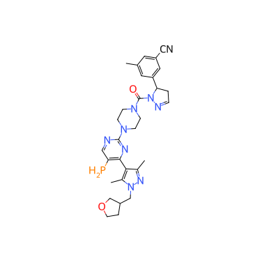 Cc1cc(C#N)cc(C2CC=NN2C(=O)N2CCN(c3ncc(P)c(-c4c(C)nn(CC5CCOC5)c4C)n3)CC2)c1